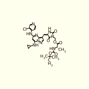 C[C@H](NC(=O)OC(C)(C)C)C(=O)OCN1C(=O)NC(=Cc2cnn3c(NC4CC4)cc(Nc4ccncc4Cl)nc23)C1=O